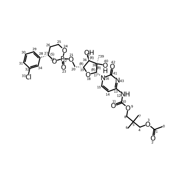 CC(=O)OCC(C)(C)COC(=O)Nc1ccn([C@@H]2O[C@H](COP3(=O)OCC[C@@H](c4cccc(Cl)c4)O3)[C@@H](O)[C@@]2(C)O)c(=O)n1